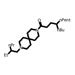 CCCCCC(CCCC)CCC(=O)N1CCC2(CCN(CC(CC)CCC)CC2)CC1